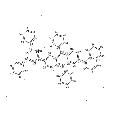 c1ccc(-c2cc(-c3ccccc3)nc(-c3ccc4c(-c5ccccc5)c5cc(-c6cccc7ccccc67)ccc5c(-c5ccccc5)c4c3)n2)cc1